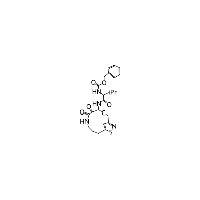 CC(C)C(NC(=O)OCc1ccccc1)C(=O)NC1CCc2cc(sn2)CCCNC(=O)C1=O